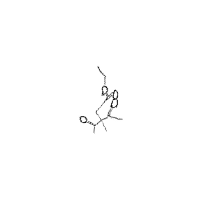 CCOC(=O)CC(C)(C(C)=O)C(C)=O